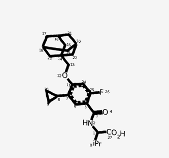 CC(C)C(NC(=O)c1cc(C2CC2)c(OCC23CC4CC(CC(C4)C2)C3)cc1F)C(=O)O